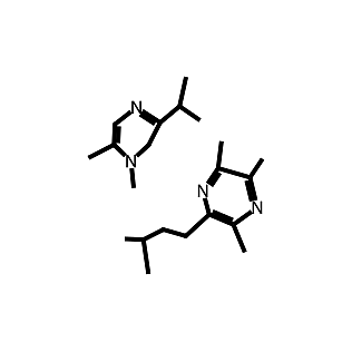 CC1=CN=C(C(C)C)CN1C.Cc1nc(C)c(CCC(C)C)nc1C